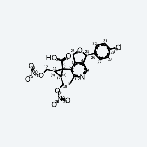 Cc1ncc2c(c1C1(C(=O)O)[C@H](CO[N+](=O)[O-])[C@@H]1CO[N+](=O)[O-])CO[C@H]2c1ccc(Cl)cc1